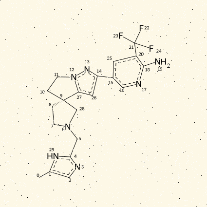 Cc1cnc(CN2CC[C@@]3(CCn4nc(-c5cnc(N)c(C(F)(F)F)c5)cc43)C2)[nH]1